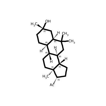 CC(=O)[C@H]1CC[C@H]2[C@@H]3CC(C)(C)[C@@H]4C[C@@](C)(O)CC[C@@H]4[C@H]3CC[C@]12C